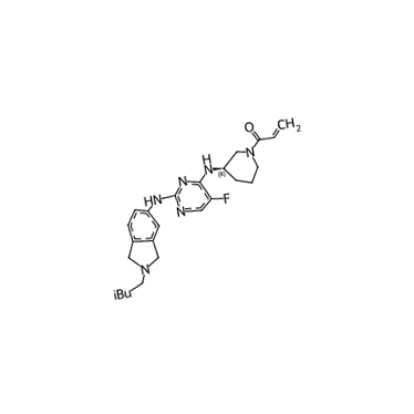 C=CC(=O)N1CCC[C@@H](Nc2nc(Nc3ccc4c(c3)CN(CC(C)CC)C4)ncc2F)C1